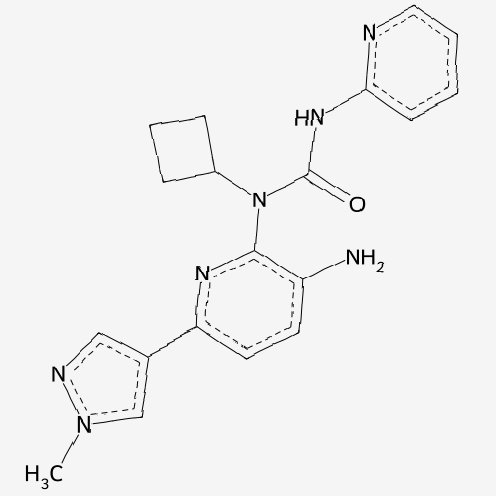 Cn1cc(-c2ccc(N)c(N(C(=O)Nc3ccccn3)C3CCC3)n2)cn1